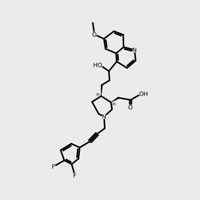 COc1ccc2nccc(C(O)CC[C@@H]3CCN(CC#Cc4ccc(F)c(F)c4)C[C@@H]3CC(=O)O)c2c1